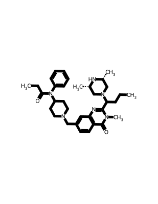 CCCC(c1nc2cc(CN3CCC(N(C(=O)CC)c4ccccc4)CC3)ccc2c(=O)n1C)N1C[C@@H](C)N[C@@H](C)C1